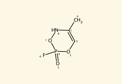 CC1=COP(=O)(F)ON1